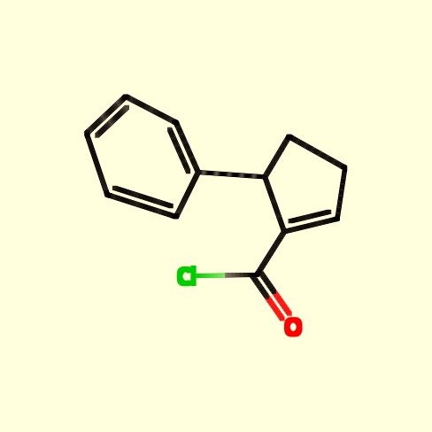 O=C(Cl)C1=CCCC1c1ccccc1